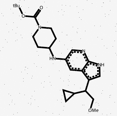 COCC(c1c[nH]c2ncc(NC3CCN(C(=O)OC(C)(C)C)CC3)cc12)C1CC1